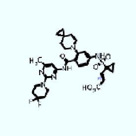 Cc1cc(NC(=O)c2ccc(NS(=O)(=O)C3(/C=C/C(=O)O)CC3)cc2N2CCC3(CC2)CC3)nc(N2CCC(F)(F)CC2)n1